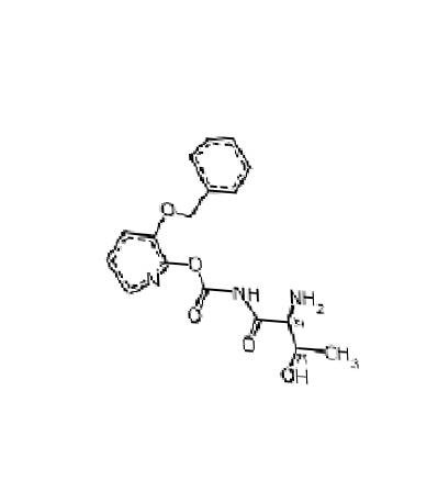 C[C@@H](O)[C@H](N)C(=O)NC(=O)Oc1ncccc1OCc1ccccc1